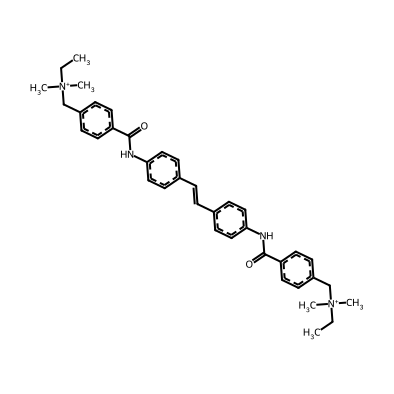 CC[N+](C)(C)Cc1ccc(C(=O)Nc2ccc(/C=C/c3ccc(NC(=O)c4ccc(C[N+](C)(C)CC)cc4)cc3)cc2)cc1